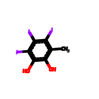 Cc1c(O)c(O)c(I)c(I)c1I